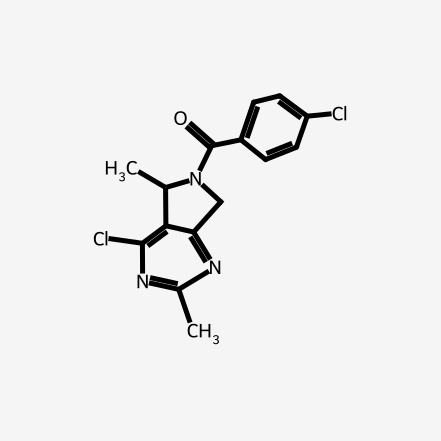 Cc1nc(Cl)c2c(n1)CN(C(=O)c1ccc(Cl)cc1)C2C